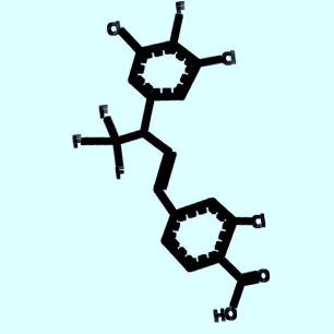 O=C(O)c1ccc(/C=C/C(c2cc(Cl)c(F)c(Cl)c2)C(F)(F)F)cc1Cl